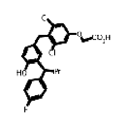 CC(C)C(c1ccc(F)cc1)c1cc(Cc2c(Cl)cc(OCC(=O)O)cc2Cl)ccc1O